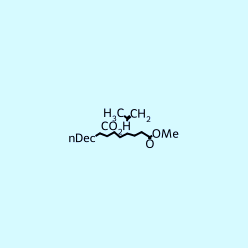 C=C(C)C(=O)O.CCCCCCCCCCCCCCCCCC(=O)OC